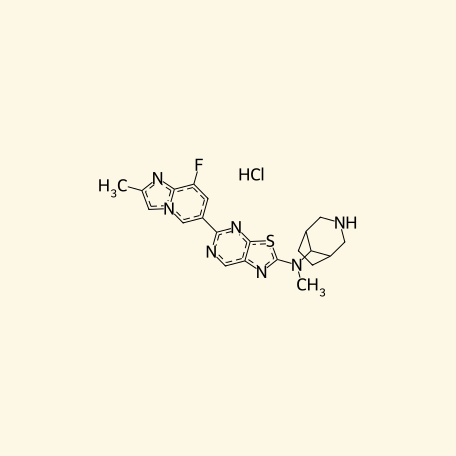 Cc1cn2cc(-c3ncc4nc(N(C)C5C6CCC5CNC6)sc4n3)cc(F)c2n1.Cl